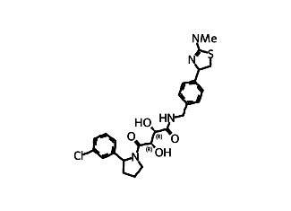 CNC1=NC(c2ccc(CNC(=O)[C@H](O)[C@@H](O)C(=O)N3CCCC3c3cccc(Cl)c3)cc2)CS1